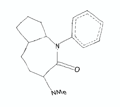 CNC1CCC2CCCC2N(c2ccccc2)C1=O